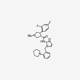 CC(C)(C)N1CC(C(=O)NC2NC=CN2Cc2ccccc2N2CCCCC2)[C@H](c2ccc(F)cc2F)C1